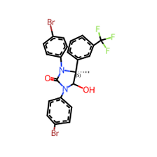 C[C@]1(c2cccc(C(F)(F)F)c2)C(O)N(c2ccc(Br)cc2)C(=O)N1c1ccc(Br)cc1